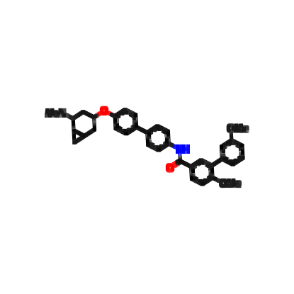 CNC1CC(Oc2ccc(-c3ccc(NC(=O)c4ccc(OC)c(-c5cccc(OC)c5)c4)cc3)cc2)CC2CC21